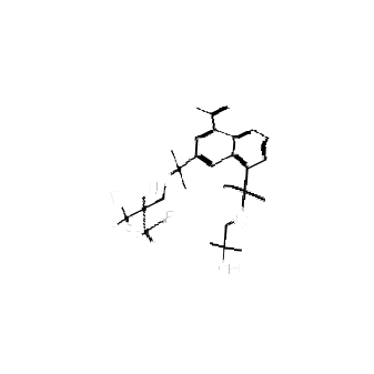 C=C(C)c1cc(C(C)(C)OCC(O)(C(F)(F)F)C(F)(F)F)cc2c(C(C)(C)OCC(C)(C)O)cccc12